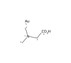 CN(C)CC(=O)O.[Au]